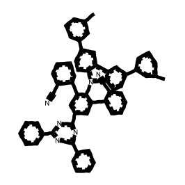 Cc1cccc(-c2ccc3c(c2)c2cc(-c4cccc(C)c4)ccc2n3-c2c(-c3ccccc3C#N)cc(-c3nc(-c4ccccc4)nc(-c4ccccc4)n3)cc2-c2ccccc2C#N)c1